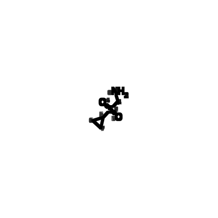 N[CH]S(=O)(=O)C1CC1